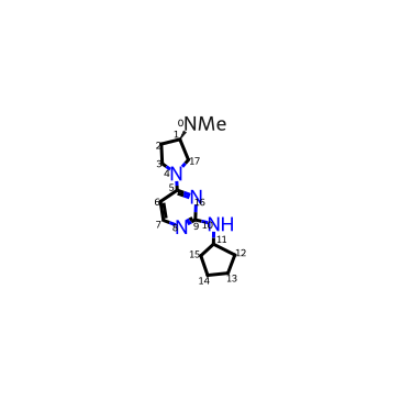 CN[C@@H]1CCN(c2ccnc(NC3CCCC3)n2)C1